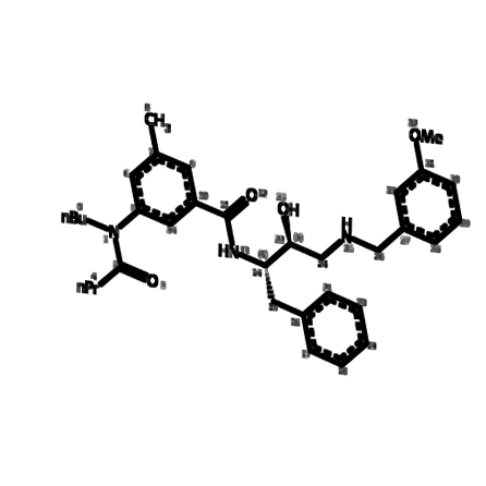 CCCCN(C(=O)CCC)c1cc(C)cc(C(=O)N[C@@H](Cc2ccccc2)[C@@H](O)CNCc2cccc(OC)c2)c1